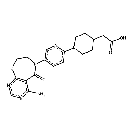 Nc1ncnc2c1C(=O)N(c1ccc(N3CCC(CC(=O)O)CC3)nc1)CCO2